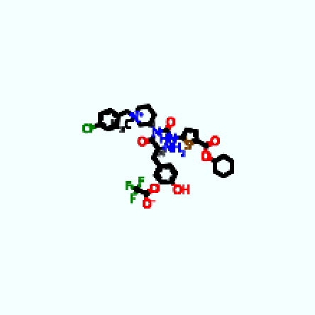 C[N+]1(Cc2ccc(Cl)cc2)CCC[C@H](N(C(=O)Nc2ccc(C(=O)OC3CCCCC3)s2)C(=O)[C@@H](N)Cc2ccc(O)cc2)C1.O=C([O-])C(F)(F)F